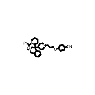 CC(C)C(=O)N1CCCCC1C1(C2CCN(CCCOc3ccc(C#N)cc3)CC2)CN(C)Cc2ccccc21